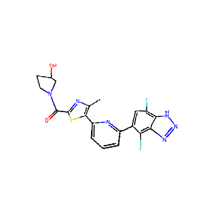 Cc1nc(C(=O)N2CCC(O)C2)sc1-c1cccc(-c2cc(F)c3[nH]nnc3c2F)n1